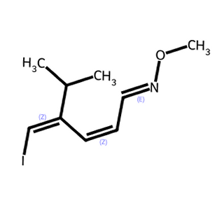 CO/N=C/C=C\C(=C/I)C(C)C